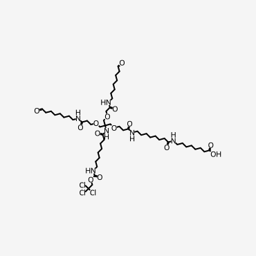 O=CCCCCCCCNC(=O)CCOCC(COCCC(=O)NCCCCCCCC(=O)NCCCCCCCC(=O)O)(COCC(=O)NCCCCCCCC=O)NC(=O)CCCCCCCNC(=O)OCC(Cl)(Cl)Cl